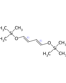 C[Si](C)(C)O/C=C/C=C/O[Si](C)(C)C